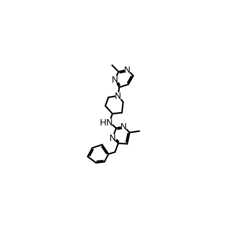 Cc1cc(Cc2ccccc2)nc(NC2CCN(c3ccnc(C)n3)CC2)n1